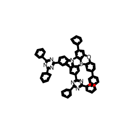 c1ccc(-c2ccc3c(c2)B2c4c(cc(-c5ccccc5)cc4-n4c5ccc(-c6nc(-c7ccccc7)nc(-c7ccccc7)n6)cc5c5cc(-c6nc(-c7ccccc7)nc(-c7ccccc7)n6)cc2c54)O3)cc1